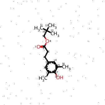 Cc1cc(CCC(=O)OCC(C)(C)C)cc(C)c1O